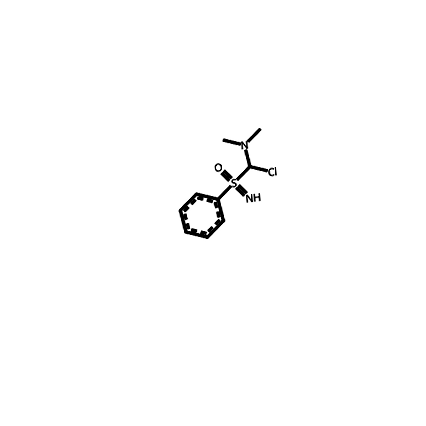 CN(C)C(Cl)S(=N)(=O)c1ccccc1